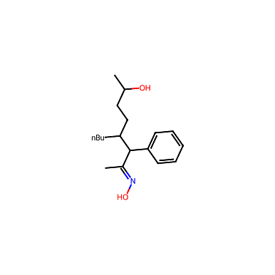 CCCCC(CCC(C)O)C(C(C)=NO)c1ccccc1